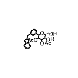 CC(=O)OC1[C@@H](OC(C)=O)C(c2cccc(Cc3cc4ccccc4n3C)c2)O[C@H](CO)[C@H]1O